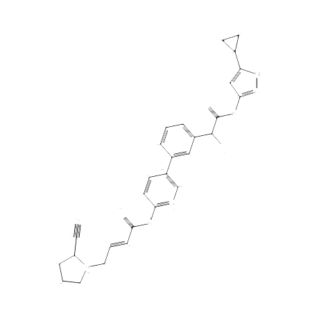 CC(C(=O)Nc1cc(C2CC2)[nH]n1)c1cccc(-c2ccc(NC(=O)/C=C/CN3CCCC3C#N)nc2)c1